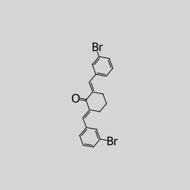 O=C1/C(=C/c2cccc(Br)c2)CCC/C1=C\c1cccc(Br)c1